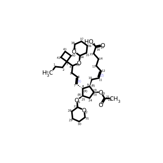 CCCC1(C(C/C=C/[C@@H]2[C@@H](C/C=C\CCCC(=O)O)[C@@H](OC(C)=O)C[C@H]2OC2CCCCO2)OC2CCCCO2)CCC1